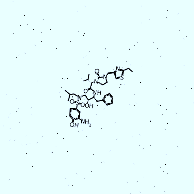 CCc1nc(CN2CCN([C@H](C(=O)N[C@@H](Cc3ccccc3)[C@@H](O)CN(CC(C)C)S(=O)(=O)c3ccc(O)c(N)c3)C(C)C)C2=O)cs1